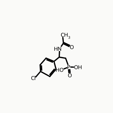 CC(=O)NC(CP(=O)(O)O)c1ccc(Cl)cc1